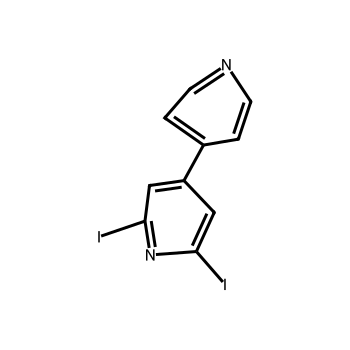 Ic1cc(-c2ccncc2)cc(I)n1